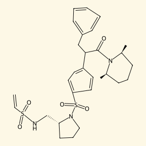 C=CS(=O)(=O)NC[C@H]1CCCN1S(=O)(=O)c1ccc(C(Cc2ccccc2)C(=O)N2[C@H](C)CCC[C@@H]2C)cc1